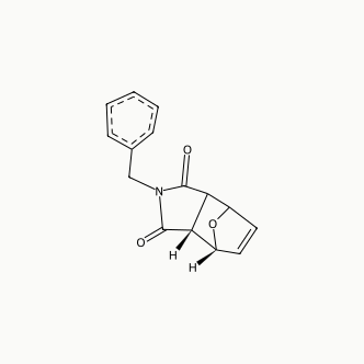 O=C1C2C3C=C[C@@H](O3)[C@@H]2C(=O)N1Cc1ccccc1